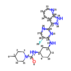 CC1CCN(C(=O)N[C@@H]2CCC[C@H](Nc3nc(-c4n[nH]c5ncccc45)ncc3F)C2)CC1